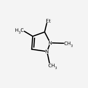 CCC1C(C)=CN(C)N1C